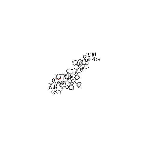 CC(C)C[C@@H](C(=O)N(C)[C@H](C(=O)N[C@@H](Cc1ccccc1)C(=O)N[C@@H](CC(=O)O)C(=O)O)C(C)C)N(C)C(=O)CNC(=O)[C@H](Cc1ccccc1)N(C)C(=O)[C@@H](NC(=O)[C@H](CC(C)C)N(C)C(=O)[C@@H](NC(=O)[C@H](C)N(C)C(=O)OC(C)(C)C)C(C)C)[C@@H](C)OC(c1ccccc1)(c1ccccc1)c1ccccc1